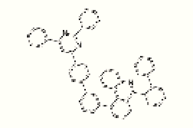 c1ccc(-c2cc(-c3ccc(-c4cccc(-c5cccc6c(-c7ccccc7-c7ccccc7)nc7ccccc7c56)c4)cc3)nc(-c3ccccc3)n2)cc1